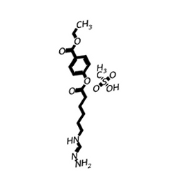 CCOC(=O)c1ccc(OC(=O)CCCCCNC=NN)cc1.CS(=O)(=O)O